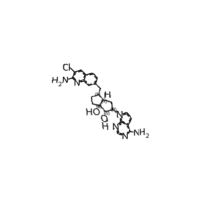 Nc1nc2cc(C[C@@H]3CC[C@@]4(O)[C@@H]3C[C@@H](n3ccc5c(N)ncnc53)[C@@H]4O)ccc2cc1Cl